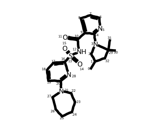 CC1CN(c2ncccc2C(=O)NS(=O)(=O)c2cccc(N3CCCCCC3)n2)C(C)(C)C1